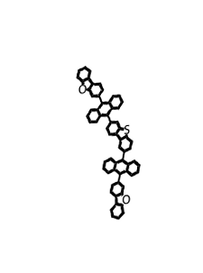 c1ccc2c(c1)oc1cc(-c3c4ccccc4c(-c4ccc5c(c4)sc4ccc(-c6c7ccccc7c(-c7ccc8c(c7)oc7ccccc78)c7ccccc67)cc45)c4ccccc34)ccc12